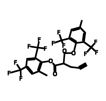 C#CCC(C(=O)Oc1c(C)cc(C(F)(F)F)cc1C(F)(F)F)C(=O)Oc1c(C(F)(F)F)cc(C)cc1C(F)(F)F